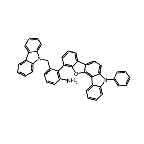 Nc1cccc(Cn2c3ccccc3c3ccccc32)c1-c1cccc2c1oc1c2ccc2c1c1ccccc1n2-c1ccccc1